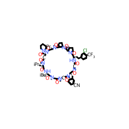 CC[C@H](C)[C@@H]1NC(=O)[C@H](CC(C)C)N(C)C(=O)C[C@@H](C(=O)N2CCCCC2)N(C)C(=O)[C@H](C(C)C)N(C)C(=O)C2(CCCC2)NC(=O)[C@@H]2CCCN2C(=O)[C@H](CCc2ccc(C(F)(F)F)c(Cl)c2)NC(=O)CN(C)C(=O)[C@H](Cc2cccc(C#N)c2)N(C)C(=O)CN(C)C(=O)CN(C)C1=O